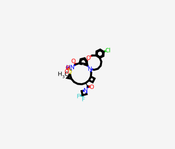 CC12CC1CCC[C@H](C(=O)N1CC(F)(F)C1)C1CCC1CN1CCCCc3cc(Cl)ccc3COc3ccc(cc31)C(=O)NS2(=O)=O